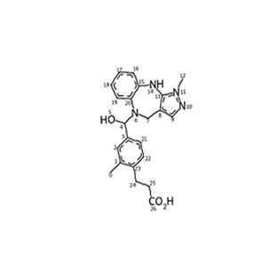 Cc1cc(C(O)N2Cc3cnn(C)c3Nc3ccccc32)ccc1CCC(=O)O